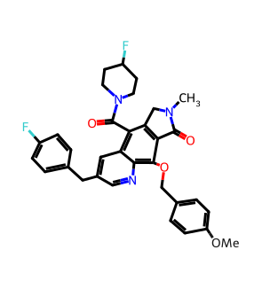 COc1ccc(COc2c3c(c(C(=O)N4CCC(F)CC4)c4cc(Cc5ccc(F)cc5)cnc24)CN(C)C3=O)cc1